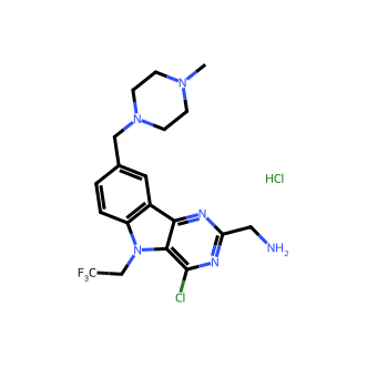 CN1CCN(Cc2ccc3c(c2)c2nc(CN)nc(Cl)c2n3CC(F)(F)F)CC1.Cl